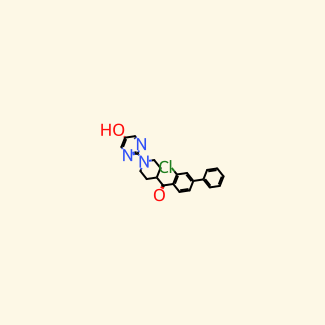 O=C(c1ccc(-c2ccccc2)cc1Cl)C1CCN(c2ncc(O)cn2)CC1